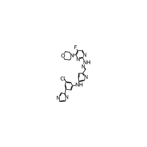 Fc1cnc(N/N=C/c2ccc(Nc3cc(Cl)cc(-c4cnccn4)c3)cn2)nc1N1CCOCC1